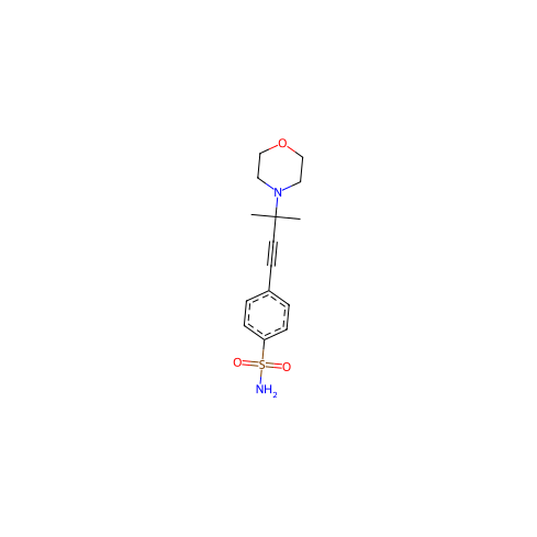 CC(C)(C#Cc1ccc(S(N)(=O)=O)cc1)N1CCOCC1